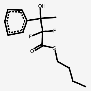 CCCCSC(=O)C(F)(F)C(C)(O)c1ccccc1